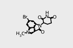 Cn1cc2c3c(cc(Br)cc31)N(C1CCC(=O)NC1=O)C2=O